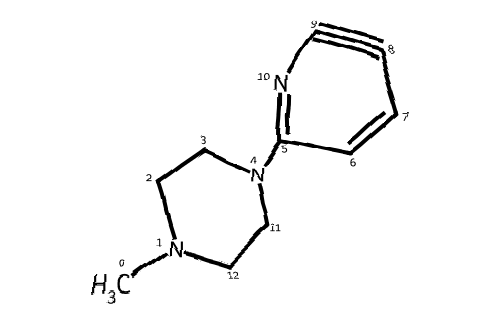 CN1CCN(c2ccc#cn2)CC1